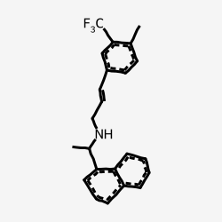 Cc1ccc(/C=C/CNC(C)c2cccc3ccccc23)cc1C(F)(F)F